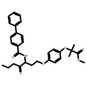 CCCC(=O)C(CCOc1ccc(OC(C)(C)C(=O)OC)cc1)NC(=O)c1ccc(-c2ccccc2)cc1